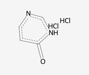 Cl.Cl.O=c1ccnc[nH]1